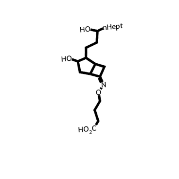 CCCCCCCC(O)CCC1C(O)CC2C(=NOCCCC(=O)O)CC21